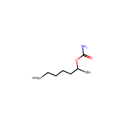 CCCCCCCCCCCC(CCCC)OC(N)=O